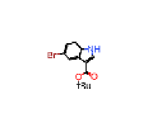 CC(C)(C)OC(=O)C1=CNC2CC=C(Br)C=C12